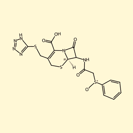 O=C(C[S+]([O-])c1ccccc1)NC1C(=O)N2C(C(=O)O)=C(CSc3nnn[nH]3)CS[C@H]12